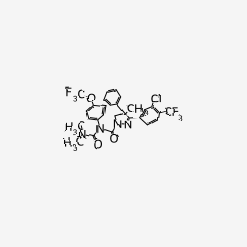 CN(C)C(=O)N(C(=O)N1CC(C)(c2ccccc2)C(c2ccc(C(F)(F)F)c(Cl)c2)=N1)c1ccc(OC(F)(F)F)cc1